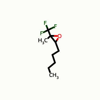 CCCCCC1OC1(C)C(F)(F)F